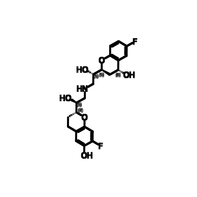 Oc1cc2c(cc1F)O[C@@H]([C@@H](O)CNC[C@H](O)[C@@H]1C[C@@H](O)c3cc(F)ccc3O1)CC2